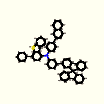 c1ccc(-c2ccc(N(c3ccc(-c4ccc5ccccc5c4)cc3)c3cccc(-c4ccc5c(c4)C4(c6ccccc6-c6ccccc64)c4ccccc4-5)c3)c3c2sc2ccccc23)cc1